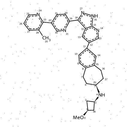 CO[C@H]1C[C@@H](N[C@H]2CCc3ccc(-c4cnc5[nH]nc(-c6ccc(-c7ncccc7C)cn6)c5c4)cc3CC2)C1